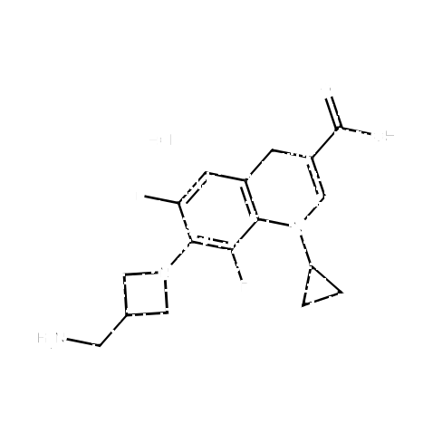 Cl.NCC1CN(c2c(F)cc3c(c2F)N(C2CC2)C=C(C(=O)O)C3)C1